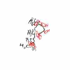 CC[C@H](O)[C@@H](C)[C@H]1OC1C[C@@](C)(O)/C=C/C=C(\C)[C@H]1OC(=O)C[C@H](O)CC[C@@](C)(O)[C@@H](OC(C)=O)/C=C/[C@@H]1C